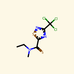 CCN(C)C(=S)c1nc(C(Cl)(Cl)Cl)ns1